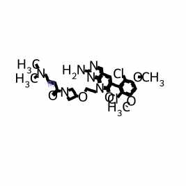 COc1cc(OC)c(Cl)c(-c2cc3cnc(N)nc3n(CCOC3CN(C(=O)/C=C/CN(C)C)C3)c2=O)c1Cl